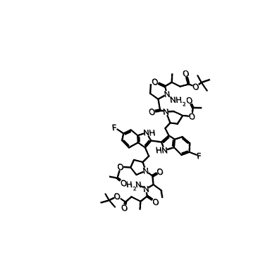 CCC(C(=O)N1CC(OC(C)=O)CC1Cc1c(-c2[nH]c3cc(F)ccc3c2CC2CC(OC(C)=O)CN2C(=O)C(CC)N(N)C(=O)C(C)CC(=O)OC(C)(C)C)[nH]c2cc(F)ccc12)N(N)C(=O)C(C)CC(=O)OC(C)(C)C